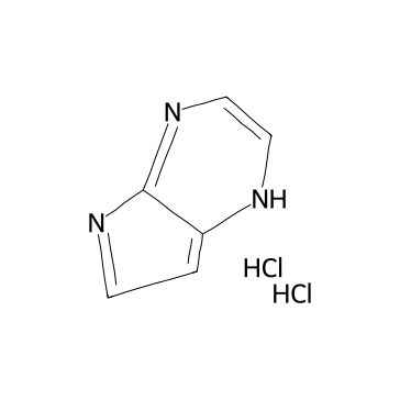 Cl.Cl.c1c[nH]c2ccnc-2n1